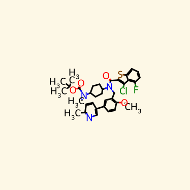 COc1ccc(-c2ccc(C)nc2)cc1CN(C(=O)c1sc2cccc(F)c2c1Cl)C1CCC(N(C)C(=O)OC(C)(C)C)CC1